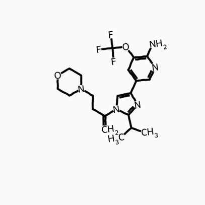 C=C(CCN1CCOCC1)n1cc(-c2cnc(N)c(OC(F)(F)F)c2)nc1C(C)C